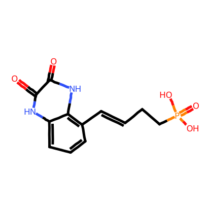 O=c1[nH]c2cccc(C=CCCP(=O)(O)O)c2[nH]c1=O